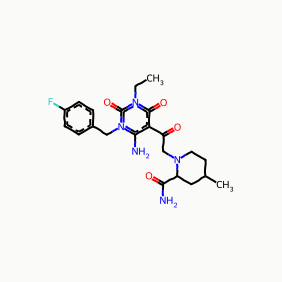 CCn1c(=O)c(C(=O)CN2CCC(C)CC2C(N)=O)c(N)n(Cc2ccc(F)cc2)c1=O